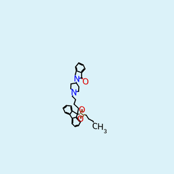 CCCCS(=O)(=O)C1(CCCCN2CCC(N3Cc4ccccc4C3=O)CC2)c2ccccc2-c2ccccc21